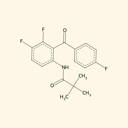 CC(C)(C)C(=O)Nc1ccc(F)c(F)c1C(=O)c1ccc(F)cc1